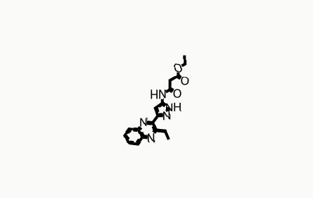 CCOC(=O)CC(=O)Nc1cc(-c2nc3ccccc3nc2CC)n[nH]1